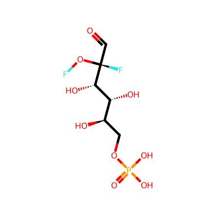 O=C[C@@](F)(OF)[C@@H](O)[C@H](O)[C@H](O)COP(=O)(O)O